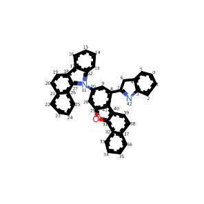 c1ccc2c(c1)CC(c1cc(-n3c4ccccc4c4ccc5ccccc5c43)cc3oc4c5ccccc5ccc4c13)=N2